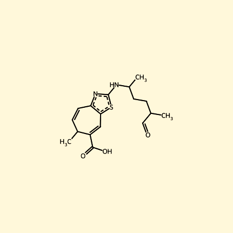 CC(C=O)CCC(C)Nc1nc2c(s1)C=C(C(=O)O)C(C)C=C2